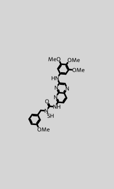 COc1cccc(CN(S)C(=O)Nc2ccc3ncc(Nc4cc(OC)c(OC)c(OC)c4)nc3n2)c1